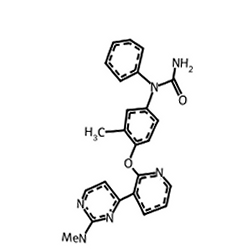 CNc1nccc(-c2cccnc2Oc2ccc(N(C(N)=O)c3ccccc3)cc2C)n1